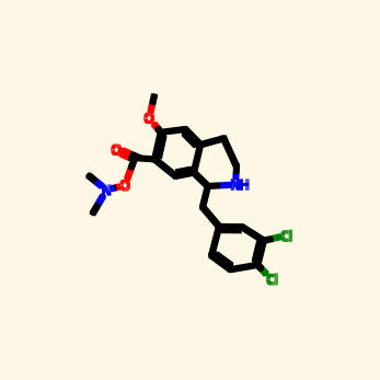 COc1cc2c(cc1C(=O)ON(C)C)C(Cc1ccc(Cl)c(Cl)c1)NCC2